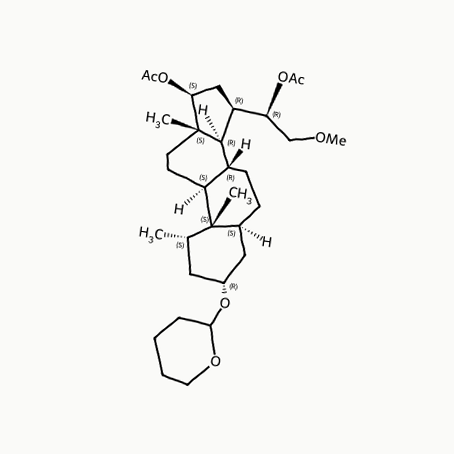 COC[C@H](OC(C)=O)[C@@H]1C[C@H](OC(C)=O)[C@@]2(C)CC[C@H]3[C@@H](CC[C@H]4C[C@H](OC5CCCCO5)C[C@H](C)[C@@]43C)[C@H]12